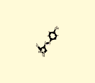 O=c1[nH][nH]cc1/N=N/c1ccc(O)cc1